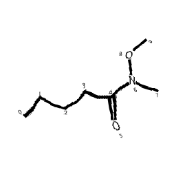 CCCCC(=O)N(C)OC